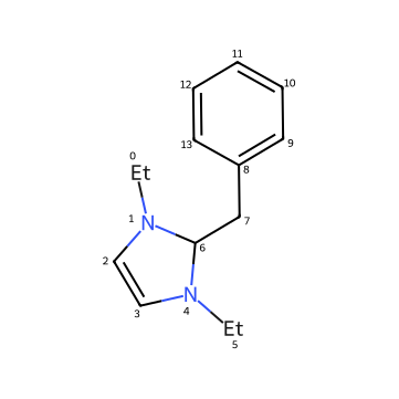 CCN1C=CN(CC)C1Cc1ccccc1